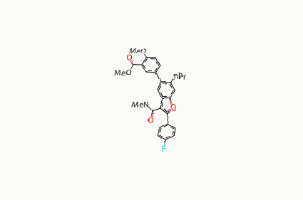 CCCc1cc2oc(-c3ccc(F)cc3)c(C(=O)NC)c2cc1-c1ccc(OC)c(C(=O)OC)c1